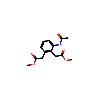 COC(=O)Cc1cccc(NC(C)=O)c1CC(=O)OC